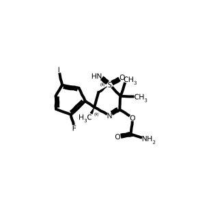 CC1(C)C(OC(N)=O)=N[C@](C)(c2cc(I)ccc2F)C[S@@]1(=N)=O